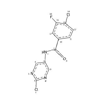 O=C(Nc1cnc(Cl)nc1)c1ccc(Cl)c(F)c1